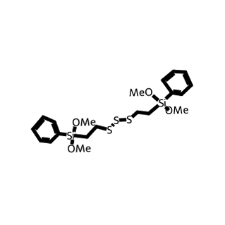 CO[Si](CCSSSCC[Si](OC)(OC)c1ccccc1)(OC)c1ccccc1